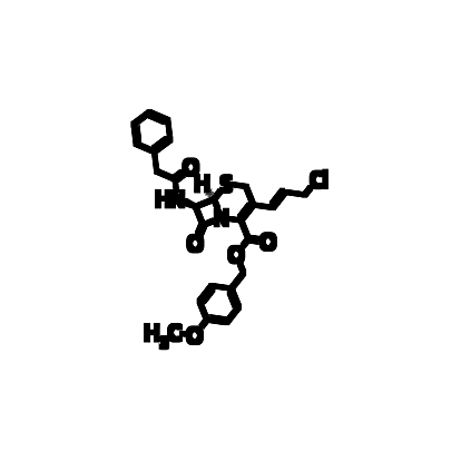 COc1ccc(COC(=O)C2=C(/C=C/CCl)CS[C@@H]3[C@H](NC(=O)Cc4ccccc4)C(=O)N23)cc1